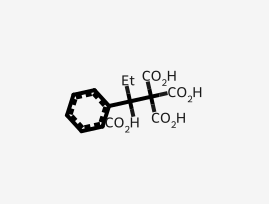 CCC(C(=O)O)(c1ccccc1)C(C(=O)O)(C(=O)O)C(=O)O